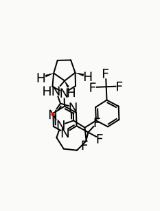 FC(F)(F)c1cccc(C2CCCCn3nc(N[C@H]4[C@@H]5CC[C@H]4CN(c4ccnc(C(F)(F)F)c4)C5)nc32)c1